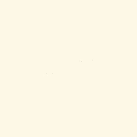 O=C(O)c1c(-c2ccccc2)n(Cl)c2ccccc12